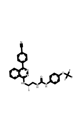 C[C@@H](CNC(=O)Nc1ccc(OC(F)(F)F)cc1)Nc1nnc(-c2ccc(C#N)cc2)c2ccccc12